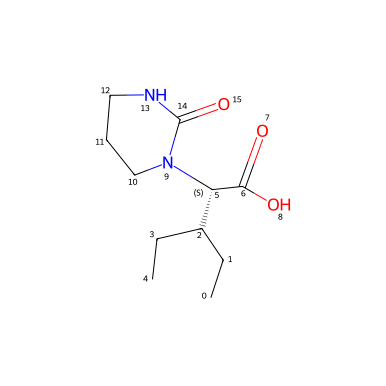 CCC(CC)[C@@H](C(=O)O)N1CCCNC1=O